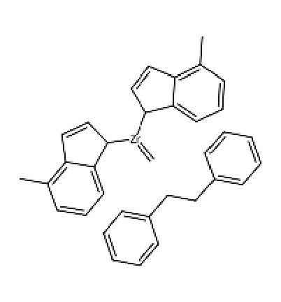 [CH2]=[Zr]([CH]1C=Cc2c(C)cccc21)[CH]1C=Cc2c(C)cccc21.c1ccc(CCc2ccccc2)cc1